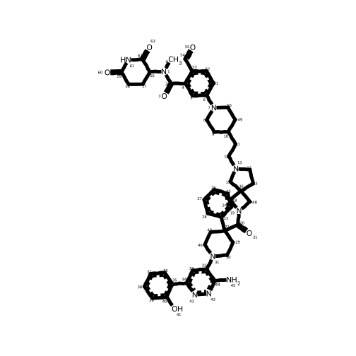 CN(C(=O)c1cc(N2CCC(CCN3CCC4(C3)CN(C(=O)C3(c5ccccc5)CCN(c5cc(-c6ccccc6O)nnc5N)CC3)C4)CC2)ccc1C=O)C1CCC(=O)NC1=O